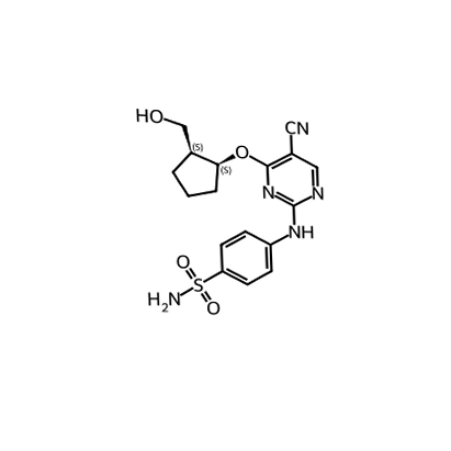 N#Cc1cnc(Nc2ccc(S(N)(=O)=O)cc2)nc1O[C@H]1CCC[C@H]1CO